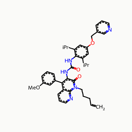 C=CCCCn1c(=O)c(NC(=O)Nc2c(C(C)C)cc(OCc3cccnc3)cc2C(C)C)c(-c2cccc(OC)c2)c2cccnc21